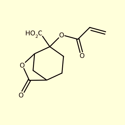 C=CC(=O)OC1(C(=O)O)CCC2CC1OC2=O